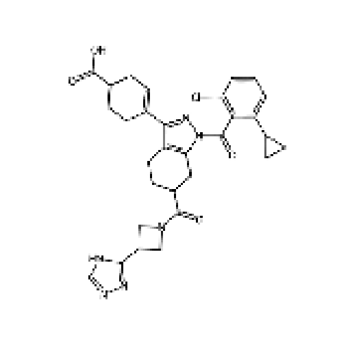 O=C(O)C1CC=C(c2nn(C(=O)c3c(Cl)cccc3C3CC3)c3c2CCC(C(=O)N2CC(c4nnc[nH]4)C2)C3)CC1